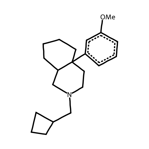 COc1cccc(C23CCCCC2CN(CC2CCC2)CC3)c1